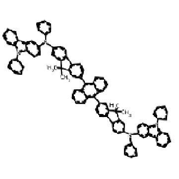 CC1(C)c2cc(-c3c4ccccc4c(-c4ccc5c(c4)C(C)(C)c4cc(N(c6ccccc6)c6ccc7c(c6)c6ccccc6n7-c6ccccc6)ccc4-5)c4ccccc34)ccc2-c2ccc(N(c3ccccc3)c3ccc4c(c3)c3ccccc3n4-c3ccccc3)cc21